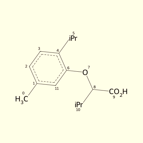 Cc1ccc(C(C)C)c(OC(C(=O)O)C(C)C)c1